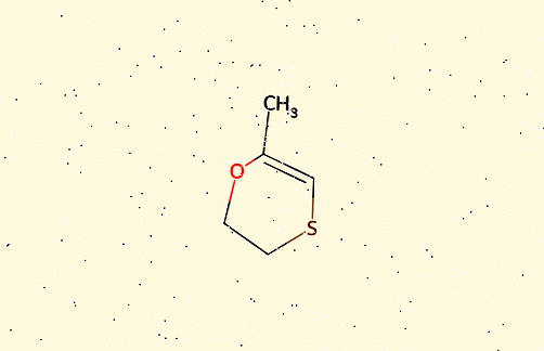 CC1=CSCCO1